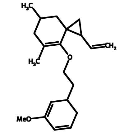 C=CC1CC12CC(C)CC(C)=C2OCCC1C=C(OC)C=CC1